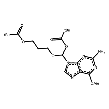 COc1nc(N)nc2c1ncn2C(OCCCOC(=O)C(C)(C)C)OC(=O)C(C)(C)C